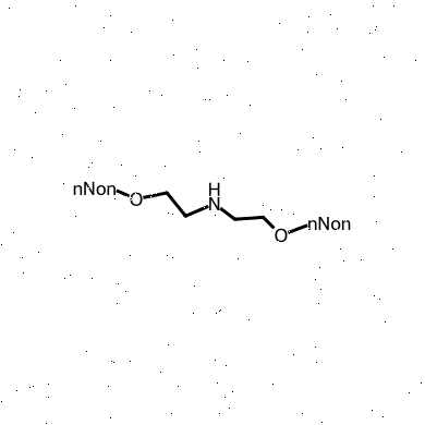 CCCCCCCCCOCCNCCOCCCCCCCCC